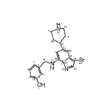 O[n+]1cccc(CNc2cc(C3CCNCC3)nc3c(Br)cnn23)c1